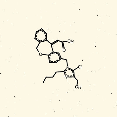 CCCCc1nc(CO)c(Cl)n1Cc1ccc2c(c1)C(=CC(=O)O)c1ccccc1CO2